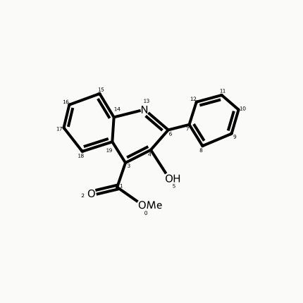 COC(=O)c1c(O)c(-c2ccccc2)nc2ccccc12